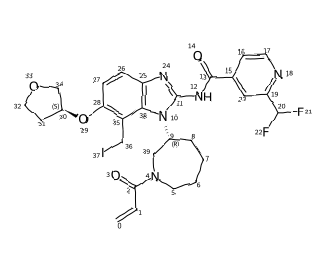 C=CC(=O)N1CCCC[C@@H](n2c(NC(=O)c3ccnc(C(F)F)c3)nc3ccc(O[C@H]4CCOC4)c(CI)c32)C1